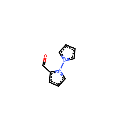 O=Cc1cccn1-n1cccc1